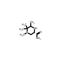 CC1NCCN(C)C1(C)C.NC=O